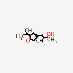 CC(C)=C1CC2C(CCC(C)O)C2(C)CC1=O